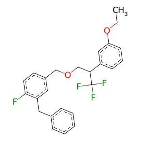 CCOc1cccc(C(COCc2ccc(F)c(Cc3ccccc3)c2)C(F)(F)F)c1